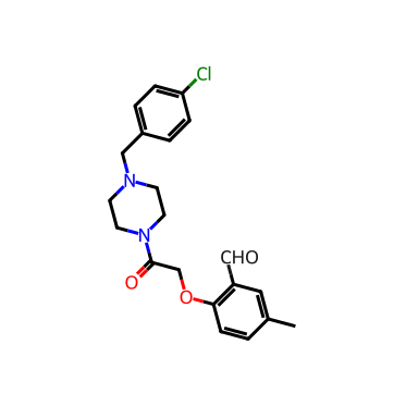 Cc1ccc(OCC(=O)N2CCN(Cc3ccc(Cl)cc3)CC2)c(C=O)c1